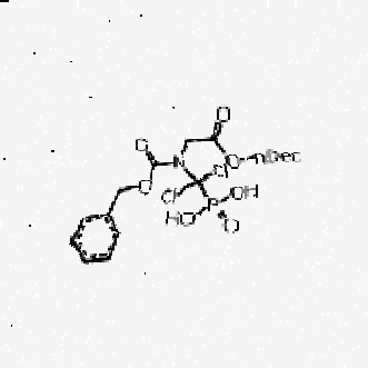 CCCCCCCCCCOC(=O)CN(C(=O)OCc1ccccc1)C(Cl)(Cl)P(=O)(O)O